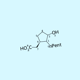 CCCCCC1C(O)CC[C@@H]1CC(=O)O